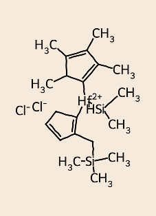 CC1=C(C)C(C)[C]([Hf+2]([C]2=C(C[Si](C)(C)C)C=CC2)[SiH](C)C)=C1C.[Cl-].[Cl-]